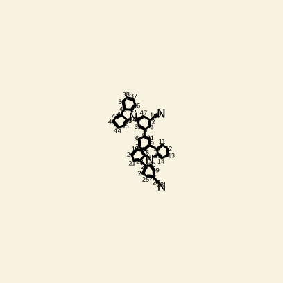 N#Cc1cc(-c2cccc(-c3ccccc3-n3c4ccccc4c4ccc(C#N)cc43)c2)cc(-n2c3ccccc3c3ccccc32)c1